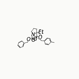 CCC1(C(=O)OCc2ccc(C)cc2)CCCN1C(=O)OCc1ccccc1